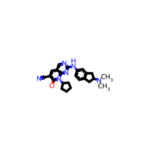 CN(C)C1Cc2ccc(Nc3ncc4cc(C#N)c(=O)n(C5CCCC5)c4n3)cc2C1